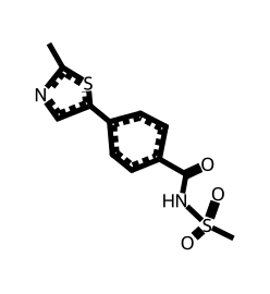 Cc1ncc(-c2ccc(C(=O)NS(C)(=O)=O)cc2)s1